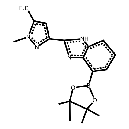 Cn1nc(-c2nc3c(B4OC(C)(C)C(C)(C)O4)cccc3[nH]2)cc1C(F)(F)F